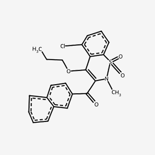 CCCOC1=C(C(=O)c2ccc3ccccc3c2)N(C)S(=O)(=O)c2cccc(Cl)c21